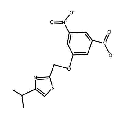 CC(C)c1csc(COc2cc([N+](=O)[O-])cc([N+](=O)[O-])c2)n1